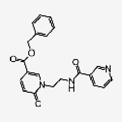 O=C(NCCn1cc(C(=O)OCc2ccccc2)ccc1=O)c1cccnc1